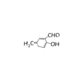 C=C1C=C(C=O)C(O)=CC1